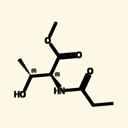 CCC(=O)N[C@H](C(=O)OC)[C@@H](C)O